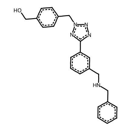 OCc1ccc(Cn2nnc(-c3cccc(CNCc4ccccc4)c3)n2)cc1